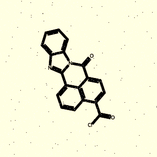 O=C(Cl)c1ccc2c(=O)n3c4ccccc4nc3c3cccc1c23